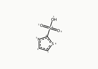 O=S(=O)(O)c1nccs1